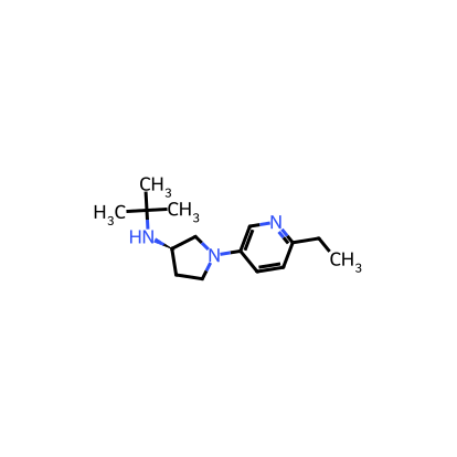 CCc1ccc(N2CC[C@@H](NC(C)(C)C)C2)cn1